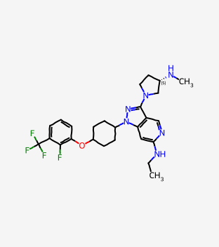 CCNc1cc2c(cn1)c(N1CC[C@H](NC)C1)nn2C1CCC(Oc2cccc(C(F)(F)F)c2F)CC1